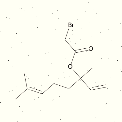 C=CC(C)(CCC=C(C)C)OC(=O)CBr